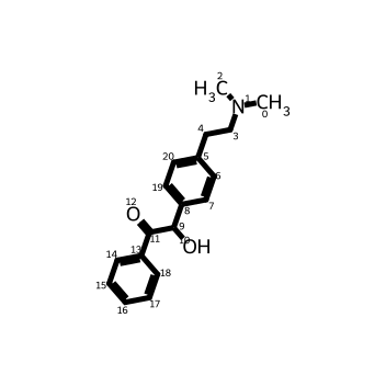 CN(C)CCc1ccc(C(O)C(=O)c2ccccc2)cc1